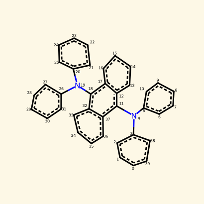 c1ccc(N(c2ccccc2)c2c3ccccc3c(N(c3ccccc3)c3ccccc3)c3ccccc23)cc1